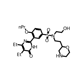 CCCOc1ccc(S(=O)(=O)N(CCO)CCC2CNCCO2)cc1-c1nc(CC)c(CC)c(=O)[nH]1